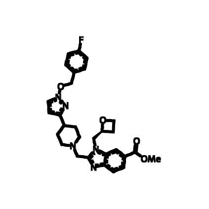 COC(=O)c1ccc2nc(CN3CCC(c4ccn(OCc5ccc(F)cc5)n4)CC3)n(C[C@@H]3CCO3)c2c1